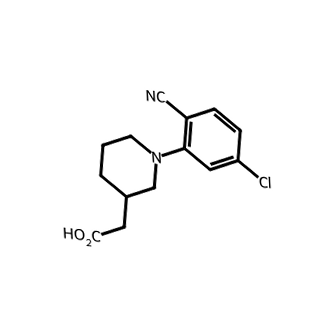 N#Cc1ccc(Cl)cc1N1CCCC(CC(=O)O)C1